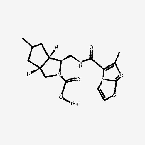 Cc1nc2sccn2c1C(=O)NC[C@@H]1[C@H]2CC(C)C[C@H]2CN1C(=O)OC(C)(C)C